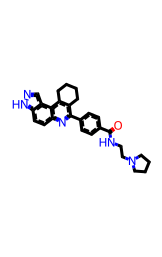 O=C(NCCN1CCCC1)c1ccc(-c2nc3ccc4[nH]ncc4c3c3c2CCCC3)cc1